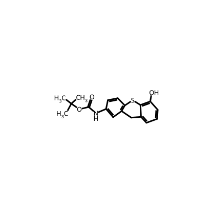 CC(C)(C)OC(=O)Nc1ccc2c(c1)Cc1cccc(O)c1S2